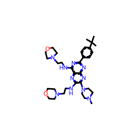 CN1CCN(c2nc3nc(-c4ccc(C(C)(C)C)cc4)nc(NCCN4CCOCC4)c3nc2NCCN2CCOCC2)CC1